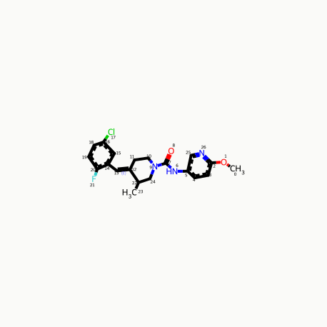 COc1ccc(NC(=O)N2CC/C(=C\c3cc(Cl)ccc3F)C(C)C2)cn1